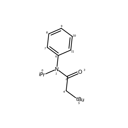 CC(C)N(C(=O)CC(C)(C)C)c1ccccc1